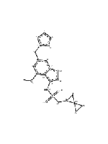 COc1cc(Cn2cccn2)cc2onc(NS(=O)(=O)CC3CC34CC4)c12